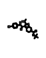 CNc1sc2c(c1C(=O)Nc1ccc(Cl)cc1)CCN(C(=O)OC(C)(C)C)C2